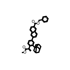 C=C(C(=O)OC)c1ccc(-c2ccc3cc(C(=O)OCc4ccccc4)ccc3c2)cc1C12CC3CC(CC(C3)C1)C2